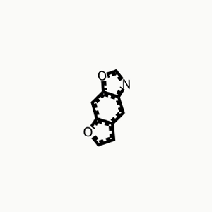 c1cc2cc3ncoc3cc2o1